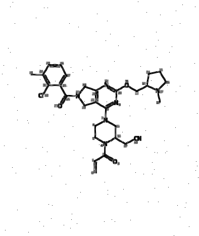 C=CC(=O)N1CCN(c2nc(OCC3CCCN3C)nc3c2CN(C(=O)c2cccc(C)c2Cl)C3)CC1CC#N